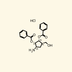 Cl.N[C@@H]1C[C@H](CO)[C@@H](OC(=O)c2ccccc2)[C@H]1OC(=O)c1ccccc1